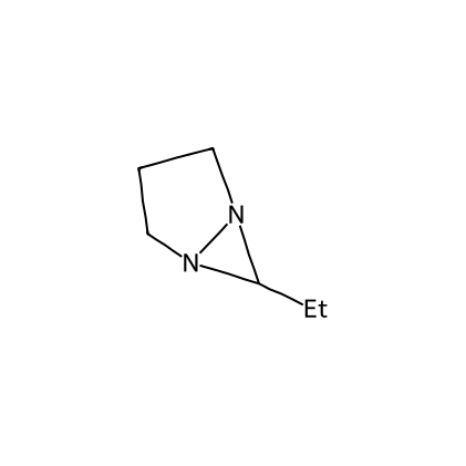 CCC1N2CCCN12